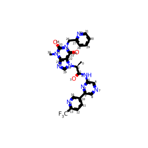 C[C@@H](C(=O)Nc1cncc(-c2ccc(C(F)(F)F)nc2)n1)n1cnc2c1c(=O)n(Cc1ccccn1)c(=O)n2C